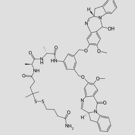 COc1cc2c(cc1OCc1cc(COc3cc4c(cc3OC)C(O)N3c5ccccc5C[C@H]3C=N4)cc(NC(=O)[C@@H](C)NC(=O)[C@H](C)NC(=O)CCC(C)(C)SSCCCC(N)=O)c1)N=C[C@@H]1Cc3ccccc3N1C2=O